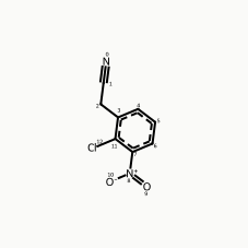 N#CCc1cccc([N+](=O)[O-])c1Cl